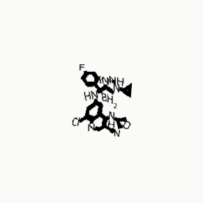 BC(Nc1cc(Cl)c2ncc(C#N)c(NC3COC3)c2c1)(C1=CN(C2CC2)NN1)c1ccc(F)cc1